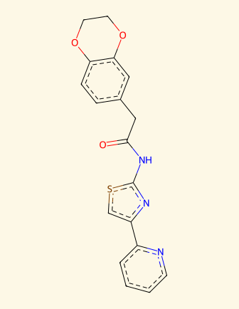 O=C(Cc1ccc2c(c1)OCCO2)Nc1nc(-c2ccccn2)cs1